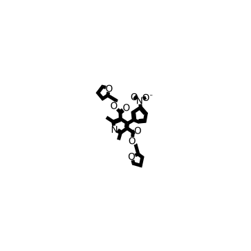 Cc1nc(C)c(C(=O)OCC2CCCO2)c(-c2cccc([N+](=O)[O-])c2)c1C(=O)OCC1CCCO1